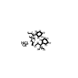 C=CC[N+](C)(C)C(CC)c1ccccc1.CCC(c1ccccc1)N(C)C.Cl.[Cl-]